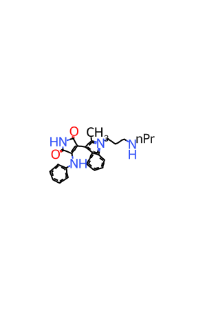 CCCNCCCn1c(C)c(C2=C(Nc3ccccc3)C(=O)NC2=O)c2ccccc21